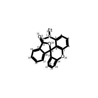 CCN(CC)c1cccc2c1C1(OC(=O)c3ccccc31)c1ccccc1O2